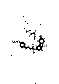 COc1ccc(/C=C/CC(=O)Nc2ccc3[nH]c4c(c3c2)CC(N)CC4)cc1.O=C(O)C(=O)O